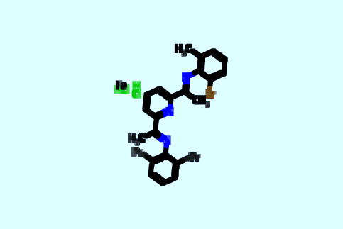 CC(=Nc1c(C)cccc1Br)c1cccc(C(C)=Nc2c(C(C)C)cccc2C(C)C)n1.Cl.Cl.[Fe]